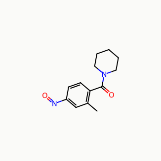 Cc1cc(N=O)ccc1C(=O)N1CCCCC1